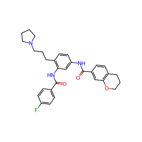 O=C(Nc1ccc(CCCN2CCCC2)c(NC(=O)c2ccc(F)cc2)c1)c1ccc2c(c1)OCCC2